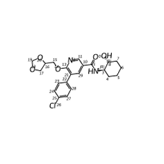 O=C(N[C@@H]1CCCC[C@H]1O)c1cnc(OCC2COCO2)c(-c2ccc(Cl)cc2)c1